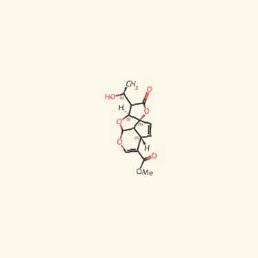 COC(=O)C1=COC2O[C@H]3C([C@H](C)O)C(=O)O[C@]34C=C[C@H]1C24